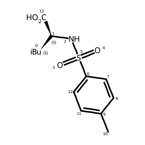 CC[C@H](C)[C@H](NS(=O)(=O)c1ccc(C)cc1)C(=O)O